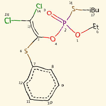 CCOP(=O)(OC(Sc1ccccc1)=C(Cl)Cl)SC(C)CC